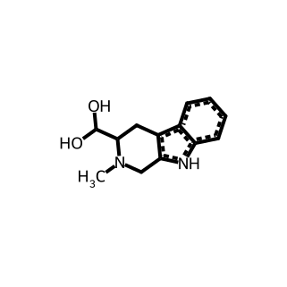 CN1Cc2[nH]c3ccccc3c2CC1C(O)O